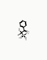 O=C(c1ccccc1)C(F)(F)S(=O)(=O)F